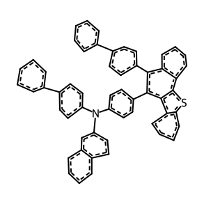 c1ccc(-c2ccc(-c3c(-c4ccc(N(c5ccc(-c6ccccc6)cc5)c5ccc6ccccc6c5)cc4)c4c5ccccc5sc4c4ccccc34)cc2)cc1